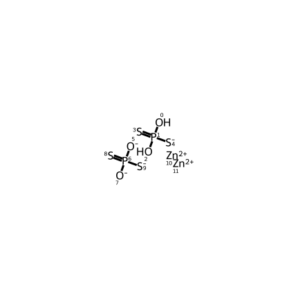 OP(O)(=S)[S-].[O-]P([O-])(=S)[S-].[Zn+2].[Zn+2]